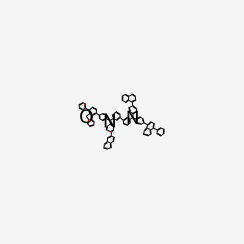 c1ccc(-c2ccc(-c3ccc(N(c4ccc(-c5cccc6ccccc56)cc4)c4cccc(-c5cccc(N(c6ccc(-c7ccc8ccccc8c7)cc6)c6ccc(-c7ccc(-c8ccccc8)c8oc9ccccc9c78)cc6)c5)c4)cc3)c3ccccc23)cc1